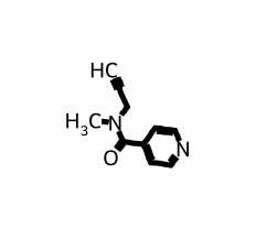 C#CCN(C)C(=O)c1ccncc1